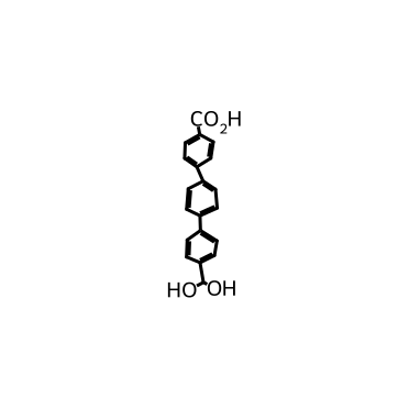 O=C(O)c1ccc(-c2ccc(-c3ccc(C(O)O)cc3)cc2)cc1